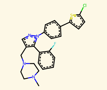 CN1CCN(Cc2cnn(-c3ccc(-c4ccc(Cl)s4)cc3)c2-c2ccccc2F)CC1